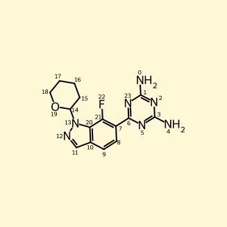 Nc1nc(N)nc(-c2ccc3cnn(C4CCCCO4)c3c2F)n1